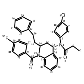 CCC(=O)N(c1ccc(Cl)cc1)[C@H]1CC(CCc2ccccc2)N(C(=O)c2ccc(F)cc2)c2ccccc21